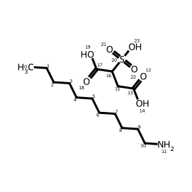 CCCCCCCCCCCN.O=C(O)CC(C(=O)O)S(=O)(=O)O